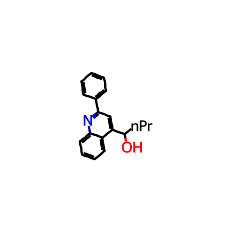 CCCC(O)c1cc(-c2ccccc2)nc2ccccc12